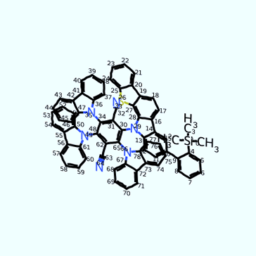 C[Si](C)(C)c1ccccc1-c1ccc2c(c1)c1ccc3c4ccccc4sc3c1n2-c1c(C#N)c(-n2c3ccccc3c3ccccc32)c(-n2c3ccccc3c3ccccc32)c(C#N)c1-n1c2ccccc2c2ccccc21